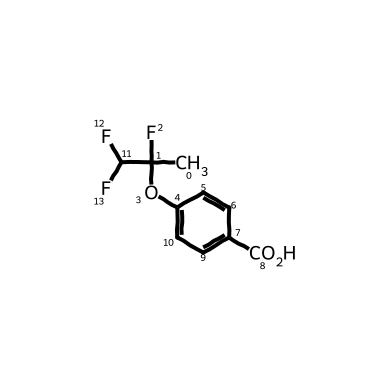 CC(F)(Oc1ccc(C(=O)O)cc1)C(F)F